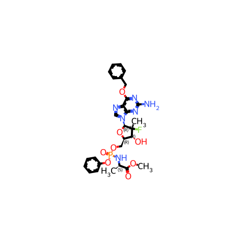 COC(=O)[C@H](C)NP(=O)(OC[C@H]1O[C@@H](n2cnc3c(OCc4ccccc4)nc(N)nc32)[C@](C)(F)[C@@H]1O)Oc1ccccc1